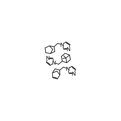 C1=CC2CC1CC2Cn1ccnc1.CC1(C)C2CCC(Cn3ccnc3)C1C2.c1cn(CC2CC3CCC2C3)cn1